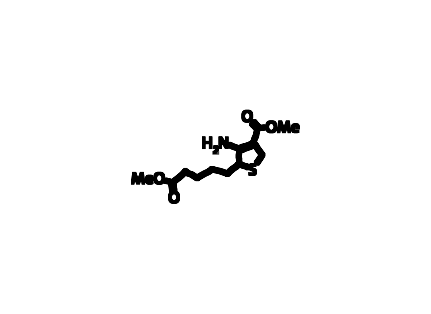 COC(=O)CCCCC1SCC(C(=O)OC)=C1N